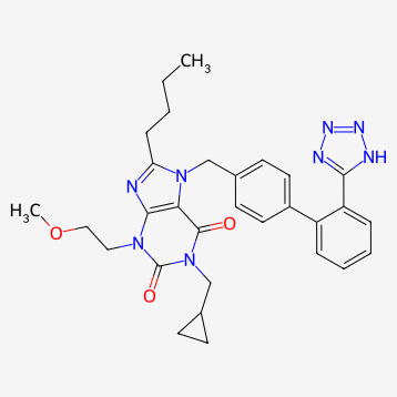 CCCCc1nc2c(c(=O)n(CC3CC3)c(=O)n2CCOC)n1Cc1ccc(-c2ccccc2-c2nnn[nH]2)cc1